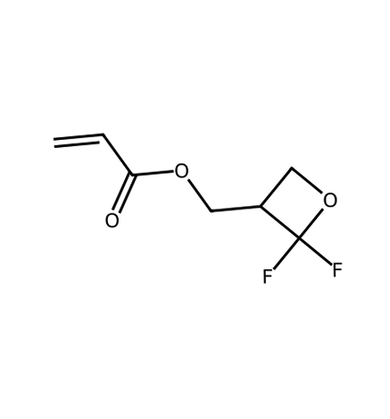 C=CC(=O)OCC1COC1(F)F